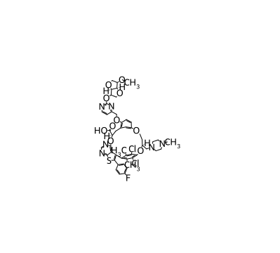 CO[C@@H]1CO[C@H]2[C@@H]1OC[C@H]2Oc1nccc(COc2ccc3cc2C[C@H](C(=O)O)Oc2ncnc4sc(-c5ccc(F)cc5)c(c24)-c2c(C)c(Cl)c(c(Cl)c2C)O[C@H](CN2CCN(C)CC2)CCO3)n1